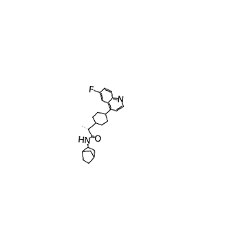 C[C@@H](C(=O)N[C@H]1CC2CCC1C2)C1CCC(c2ccnc3ccc(F)cc23)CC1